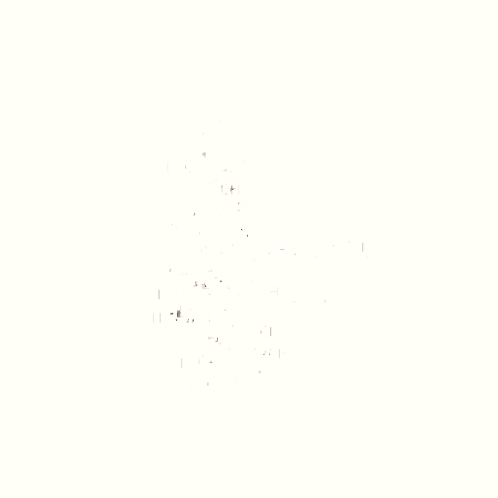 C=C(/C=C\C=C/CN1c2cc(C)c(-c3cc4c(cc3C)C(C)(C)CCC4(C)C)cc2-c2c(cccc2C(C)(C)c2ccccc2N)-c2cc(-c3ccccc3C)cc1c2C)c1ccccc1